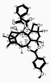 COc1ccc(C2O[C@H]3C[C@H]4OC[C@@]4(OC(C)=O)[C@H]4[C@H](OC(=O)c5ccccc5)[C@]5(O)C[C@H](C)C(C)=C([C@@H](C)[C@H](O2)[C@]34C)C5(C)C)cc1